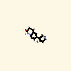 Cc1cc2c(cc1-c1cccnc1)CCC(=O)N2